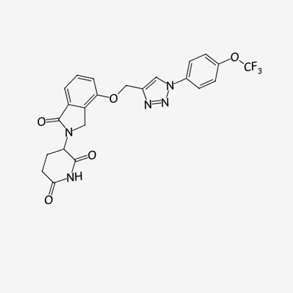 O=C1CCC(N2Cc3c(OCc4cn(-c5ccc(OC(F)(F)F)cc5)nn4)cccc3C2=O)C(=O)N1